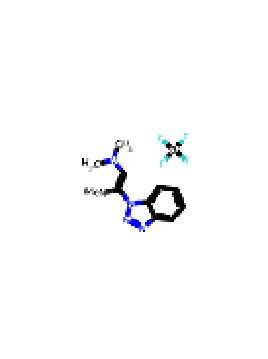 C[NH2+]C(=CN(C)C)n1nnc2ccccc21.F[B-](F)(F)F